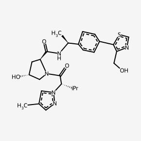 Cc1cnn([C@H](C(=O)N2C[C@H](O)C[C@H]2C(=O)N[C@@H](C)c2ccc(-c3scnc3CO)cc2)C(C)C)c1